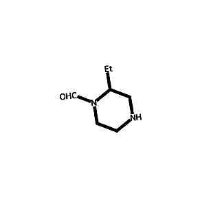 [CH2]CC1CNCCN1C=O